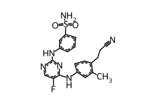 Cc1cc(Nc2nc(Nc3cccc(S(N)(=O)=O)c3)ncc2F)ccc1CCC#N